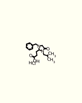 CC(C)CN1C(=O)CN(Cc2ccccc2)C1CCC(=O)O.Cl